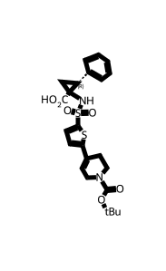 CC(C)(C)OC(=O)N1CC=C(c2ccc(S(=O)(=O)NC3(C(=O)O)C[C@@H]3c3ccccc3)s2)CC1